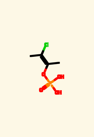 CC(Cl)=C(C)OP(=O)(O)O